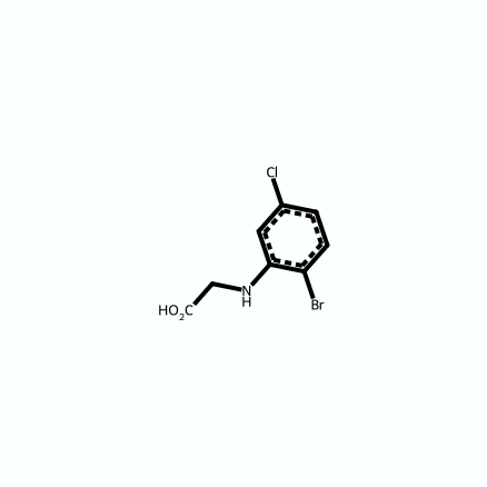 O=C(O)CNc1cc(Cl)ccc1Br